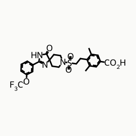 Cc1cc(C(=O)O)cc(C)c1CCS(=O)(=O)N1CCC2(CC1)N=C(c1cccc(OC(F)(F)F)c1)NC2=O